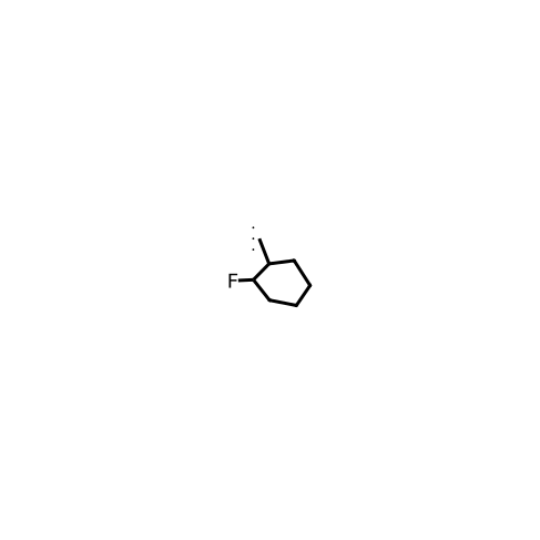 [C]C1CCCCC1F